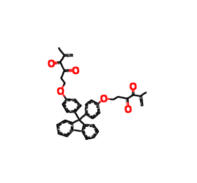 C=C(C)C(=O)C(=O)CCOc1ccc(C2(c3ccc(OCCC(=O)C(=O)C(=C)C)cc3)c3ccccc3-c3ccccc32)cc1